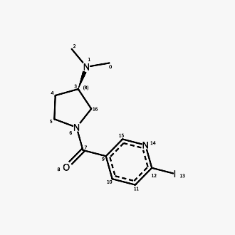 CN(C)[C@@H]1CCN(C(=O)c2ccc(I)nc2)C1